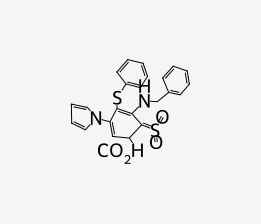 O=C(O)C1C=C(n2cccc2)C(Sc2ccccc2)=C(NCc2ccccc2)C1=S(=O)=O